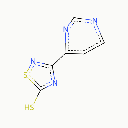 Sc1nc(-c2ccncn2)ns1